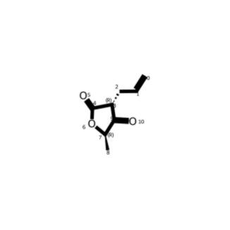 C=CC[C@H]1C(=O)O[C@H](C)C1=O